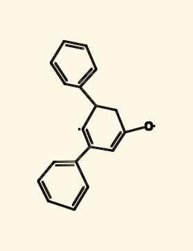 [O]C1=CC(c2ccccc2)=[C]C(c2ccccc2)C1